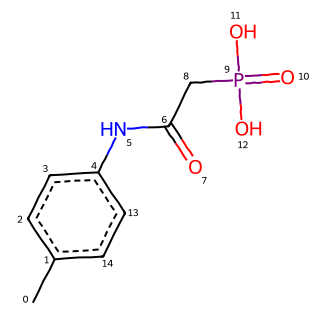 Cc1ccc(NC(=O)CP(=O)(O)O)cc1